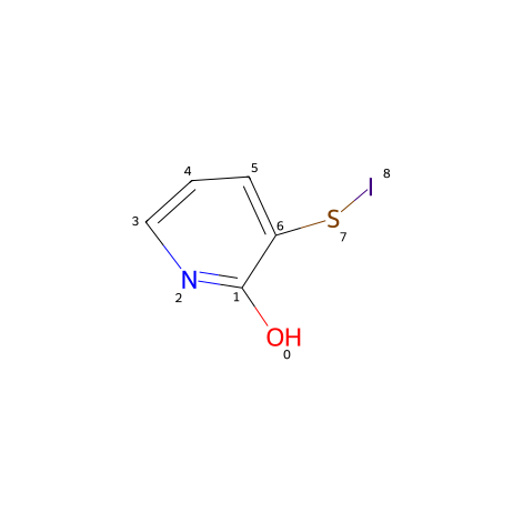 Oc1ncccc1SI